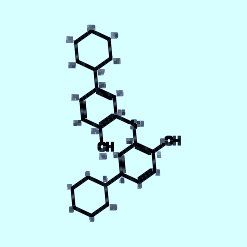 Oc1ccc(C2CCCCC2)cc1Sc1cc(C2CCCCC2)ccc1O